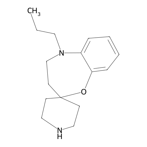 CCCN1CCC2(CCNCC2)Oc2ccccc21